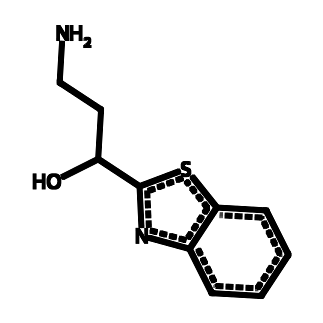 NCCC(O)c1nc2ccccc2s1